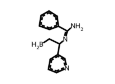 BCC(/N=C(/N)c1ccccc1)c1cccnc1